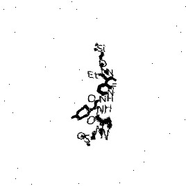 CCc1c(-c2ccc(NC(=O)[C@@H](NC(=O)c3ccnn3CC[S+](C)[O-])C3CCC(C)CC3)nc2F)c(C)nn1COCC[Si](C)(C)C